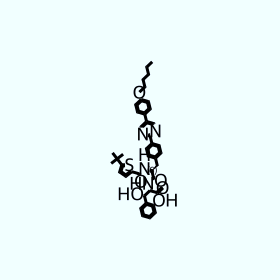 CCCCCOc1ccc(-c2cnc(-c3ccc(C[C@H](NC(=O)c4ccc(C(C)(C)C)s4)C(=O)NC(C(=O)O)C(O)c4ccccc4)cc3)nc2)cc1